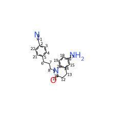 N#Cc1ccc(CCCN2C(=O)CCc3cc(N)ccc32)cc1